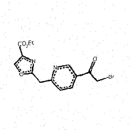 CCOC(=O)c1coc(Cc2ccc(C(=O)CBr)cn2)n1